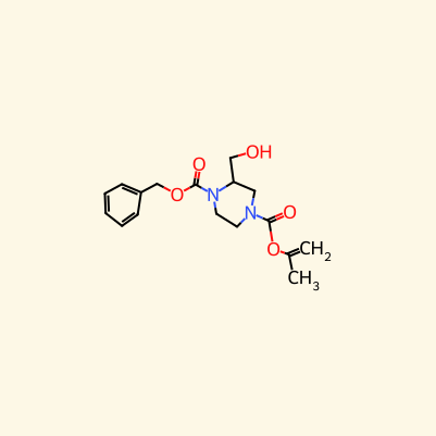 C=C(C)OC(=O)N1CCN(C(=O)OCc2ccccc2)C(CO)C1